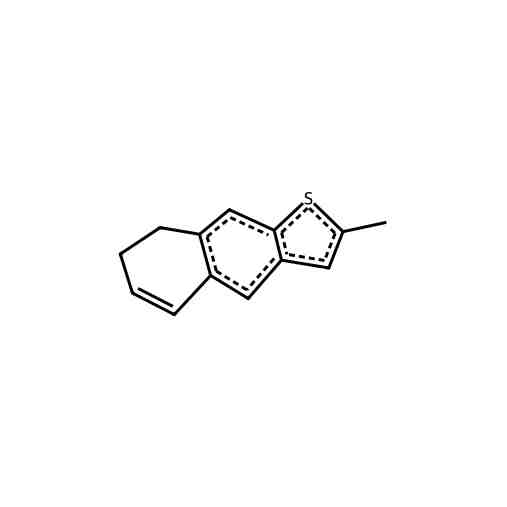 Cc1cc2cc3c(cc2s1)CCC=C3